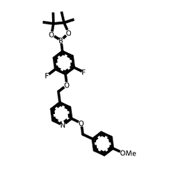 COc1ccc(COc2cc(COc3c(F)cc(B4OC(C)(C)C(C)(C)O4)cc3F)ccn2)cc1